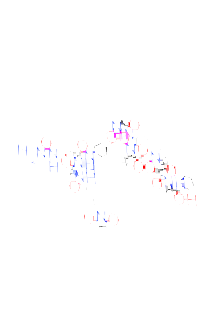 CC[C@H](C)[C@@H]([C@@H](CC(=O)N1CCC[C@H]1[C@@H](OC)[C@@H](C)C(=O)N[C@H](C)[C@@H](O)c1ccccc1)OC)N(C)C(=O)C(NC(=O)[C@H](C(C)C)N(C)C(=O)OCc1ccc(NC(=O)[C@H](CCCNC(N)=O)NC(=O)[C@@H](NC(=O)CCCCCN2C(=O)C=CC2=O)C(C)C)cc1)C(C)C